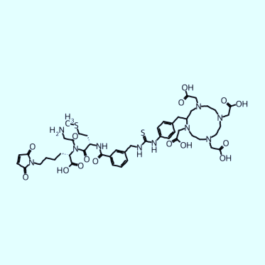 CSCC[C@H](NC(=O)c1cccc(CNC(=S)Nc2ccc(CC3CN(CC(=O)O)CCN(CC(=O)O)CCN(CC(=O)O)CCN3CC(=O)O)cc2)c1)C(=O)N(C(=O)CN)[C@@H](CCCCN1C(=O)C=CC1=O)C(=O)O